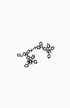 CC(C)(C)c1ccc2c3ccc(C(C)(C)CCC(C)(C)c4ccc5c(c4)c4ccccc4n5-c4ccc(-c5nc(-c6ccccc6)nc(-c6ccccc6)n5)c(-c5cccnc5)c4)cc3n(-c3ccc(-c4nc(-c5ccccc5)nc(-c5ccccc5)n4)c(-c4cccnc4)c3)c2c1